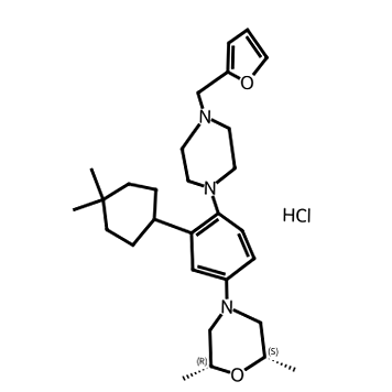 C[C@@H]1CN(c2ccc(N3CCN(Cc4ccco4)CC3)c(C3CCC(C)(C)CC3)c2)C[C@H](C)O1.Cl